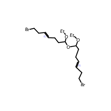 CCOC(CC/C=C/CCBr)OC(CC/C=C/CCBr)OCC